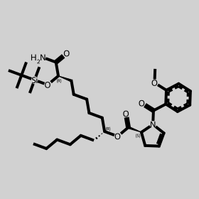 CCCCCC[C@H](CCCCC[C@@H](O[Si](C)(C)C(C)(C)C)C(N)=O)OC(=O)[C@@H]1CC=CN1C(=O)c1ccccc1OC